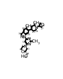 Cc1nc(N2CCO[C@@H](CO)C2)cc(-n2ncc3cc(C)c(C4CCN(C5COC5)C(C)C4)cc32)n1